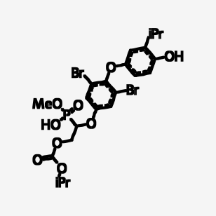 COP(=O)(O)C(COC(=O)OC(C)C)Oc1cc(Br)c(Oc2ccc(O)c(C(C)C)c2)c(Br)c1